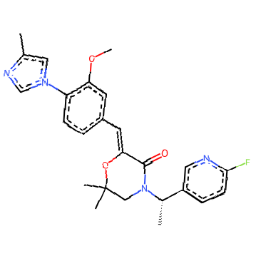 COc1cc(C=C2OC(C)(C)CN([C@@H](C)c3ccc(F)nc3)C2=O)ccc1-n1cnc(C)c1